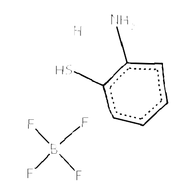 F[B-](F)(F)F.Nc1ccccc1S.[H+]